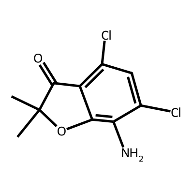 CC1(C)Oc2c(N)c(Cl)cc(Cl)c2C1=O